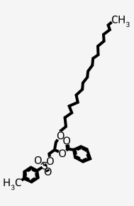 CCCCCCCCCCCCCCCCCCCCOCC(COS(=O)(=O)c1ccc(C)cc1)OC(=O)c1ccccc1